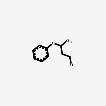 CC(CCCl)Oc1ccccc1